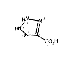 O=C(O)C1=NNNN1